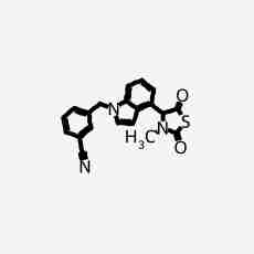 CN1C(=O)SC(=O)C1c1cccc2c1ccn2Cc1cccc(C#N)c1